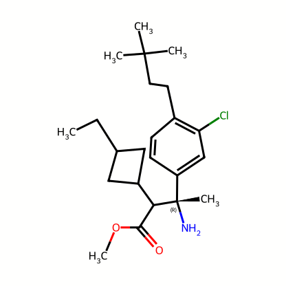 CCC1CC(C(C(=O)OC)[C@@](C)(N)c2ccc(CCC(C)(C)C)c(Cl)c2)C1